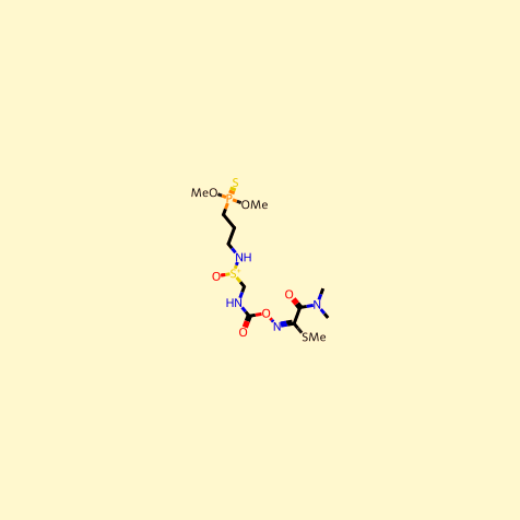 COP(=S)(CCCN[S+]([O-])CNC(=O)ON=C(SC)C(=O)N(C)C)OC